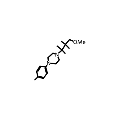 COCC(C)(C)C(C)(C)N1CCN(c2ccc(C)cc2)CC1